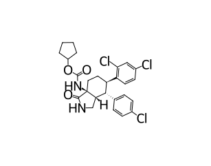 O=C(N[C@@]12CC[C@@H](c3ccc(Cl)cc3Cl)[C@H](c3ccc(Cl)cc3)[C@@H]1CNC2=O)OC1CCCC1